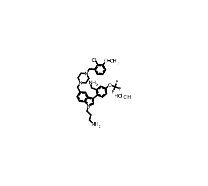 COc1cccc(CN2CCN(Cc3ccc4c(c3)c(-c3ccc(OC(F)(F)F)cc3CN)cn4CCCN)CC2)c1Cl.Cl.Cl